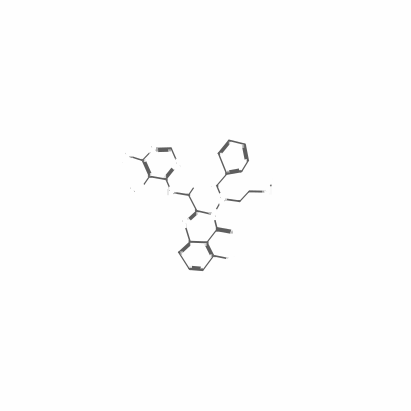 CC(Nc1ncnc(N)c1C#N)c1nc2cccc(Cl)c2c(=O)n1N(CCNC(=O)O)Cc1ccccc1